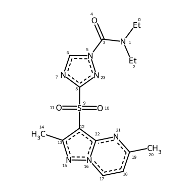 CCN(CC)C(=O)n1cnc(S(=O)(=O)c2c(C)nn3ccc(C)nc23)n1